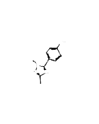 Cc1nc(-c2ccc(O)cc2)n(C)n1